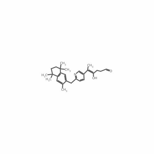 C/C(=C(/O)CCC=O)c1ccc(Cc2cc3c(cc2C)C(C)(C)CCC3(C)C)nc1